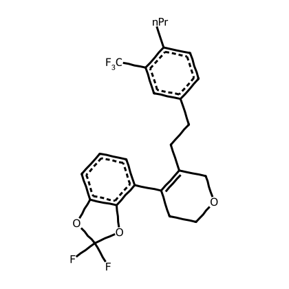 CCCc1ccc(CCC2=C(c3cccc4c3OC(F)(F)O4)CCOC2)cc1C(F)(F)F